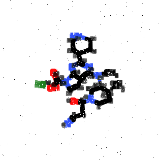 C[C@@H]1CCN(C(=O)CC#N)C[C@@H]1N(C)c1nc(C2CCNCC2)nc2c1ccn2C(=O)O.Cl